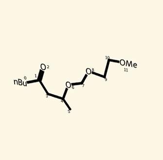 CCCCC(=O)CC(C)OCOCCOC